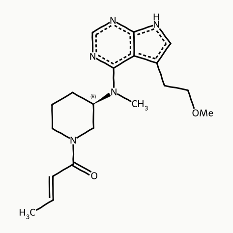 CC=CC(=O)N1CCC[C@@H](N(C)c2ncnc3[nH]cc(CCOC)c23)C1